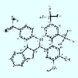 COc1cc(C2Nc3ccc(C(=N)N)cc3C3c4ccccc4CC23)c(-c2ccc(C(F)(F)F)cc2C(F)(F)F)cc1O